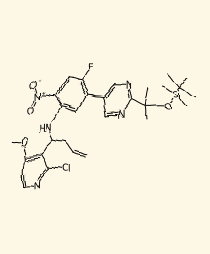 C=CCC(Nc1cc(-c2cnc(C(C)(C)O[Si](C)(C)C(C)(C)C)nc2)c(F)cc1[N+](=O)[O-])c1c(OC)ccnc1Cl